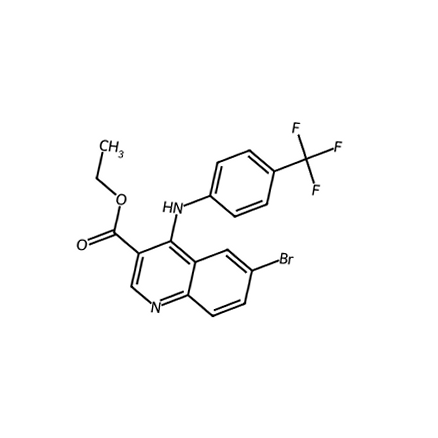 CCOC(=O)c1cnc2ccc(Br)cc2c1Nc1ccc(C(F)(F)F)cc1